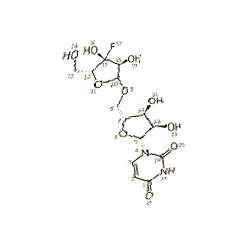 O=c1ccn([C@@H]2O[C@H](COC3O[C@H](CO)[C@](O)(F)[C@H]3O)[C@@H](O)[C@H]2O)c(=O)[nH]1